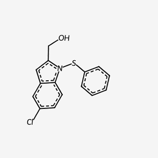 OCc1cc2cc(Cl)ccc2n1Sc1ccccc1